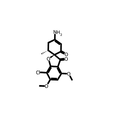 COc1cc(OC)c2c(c1Cl)O[C@@]1(C(=O)C=C(N)C[C@H]1C)C2=O